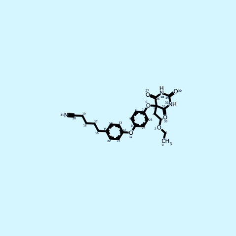 CCOCCC1(Oc2ccc(Oc3ccc(CCCCC#N)cc3)cc2)C(=O)NC(=O)NC1=O